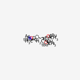 C=C1C(=CC=C2CCC[C@]3(C)C([C@@H](C)ON(C(C)=O)C(C)(C)C)=CCC23)C[C@@H](O[Si](C)(C)C(C)(C)C)C[C@@H]1O[Si](C)(C)C(C)(C)C